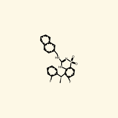 C[C@@H](c1ccccc1F)c1c(F)ccc2c1NC(NCc1ccc3ccccc3c1)=NS2(=O)=O